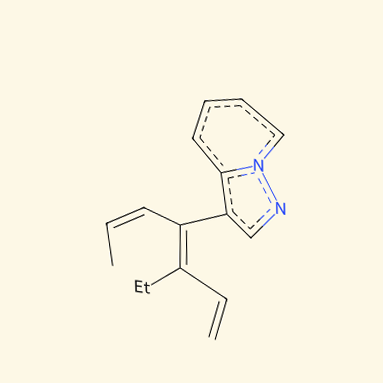 C=C/C(CC)=C(/C=C\C)c1cnn2ccccc12